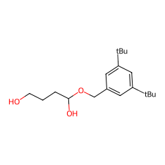 CC(C)(C)c1cc(COC(O)CCCO)cc(C(C)(C)C)c1